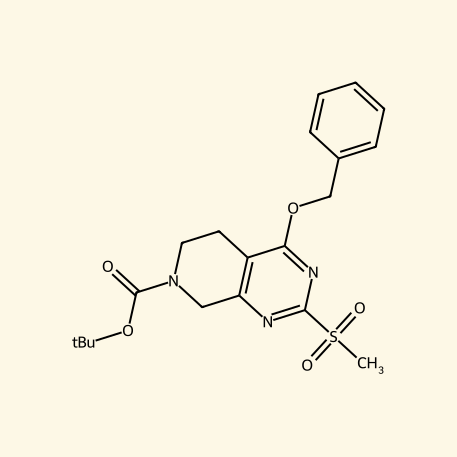 CC(C)(C)OC(=O)N1CCc2c(nc(S(C)(=O)=O)nc2OCc2ccccc2)C1